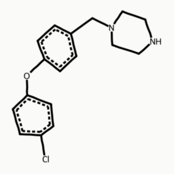 Clc1ccc(Oc2ccc(CN3CCNCC3)cc2)cc1